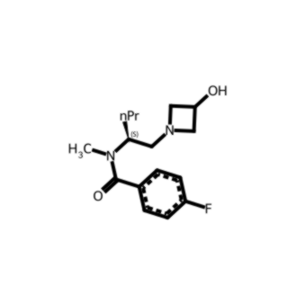 CCC[C@@H](CN1CC(O)C1)N(C)C(=O)c1ccc(F)cc1